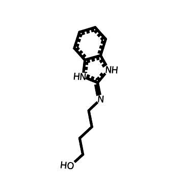 OCCCCN=c1[nH]c2ccccc2[nH]1